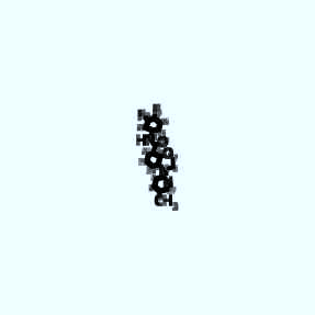 Cc1ccc(N2CCOc3c(C(=O)Nc4ccc(F)c(F)c4)cccc32)nc1